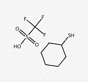 O=S(=O)(O)C(F)(F)F.SC1CCCCC1